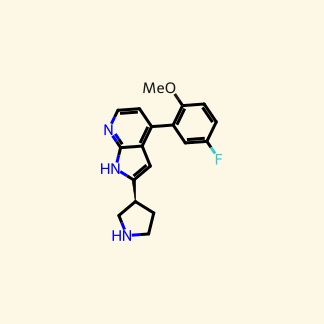 COc1ccc(F)cc1-c1ccnc2[nH]c([C@H]3CCNC3)cc12